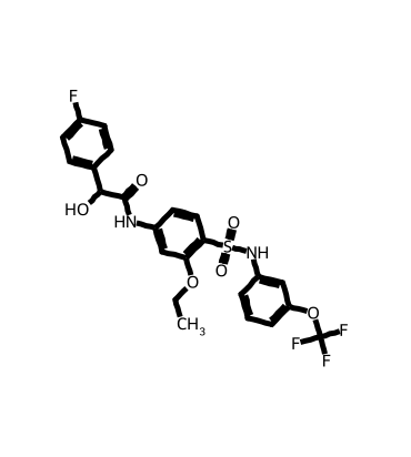 CCOc1cc(NC(=O)C(O)c2ccc(F)cc2)ccc1S(=O)(=O)Nc1cccc(OC(F)(F)F)c1